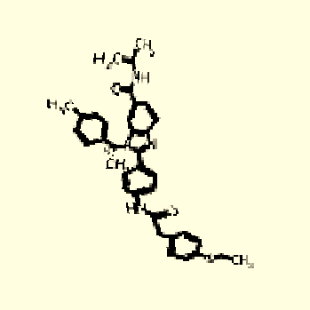 CCSc1ccc(CC(=O)Nc2ccc(-c3nc4ccc(C(=O)NC(C)C)cc4n3[C@H](C)c3ccc(C)cc3)cc2)cc1